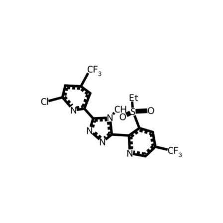 CCS(=O)(=O)c1cc(C(F)(F)F)cnc1-c1nnc(-c2cc(C(F)(F)F)cc(Cl)n2)n1C